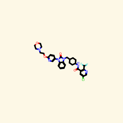 O=C(NC1CCC(Cn2c(=O)n(-c3ccc(OCCN4CCOCC4)nc3)c3ccccc32)CC1)c1cc(Cl)cnc1C(F)F